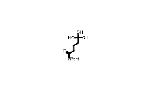 CCCCCC(=O)CCCC(O)(O)O